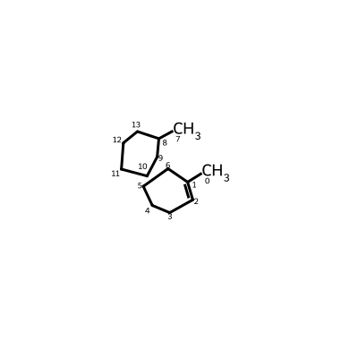 CC1=CCCCC1.CC1CCCCC1